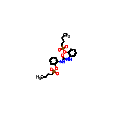 CCCCS(=O)(=O)Oc1ccccc1NC(=O)Nc1ccccc1OS(=O)(=O)CCCC